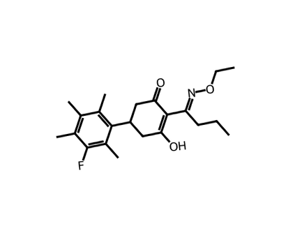 CCCC(=NOCC)C1=C(O)CC(c2c(C)c(C)c(C)c(F)c2C)CC1=O